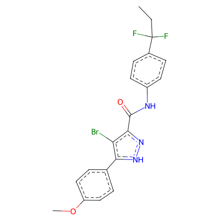 CCC(F)(F)c1ccc(NC(=O)c2n[nH]c(-c3ccc(OC)cc3)c2Br)cc1